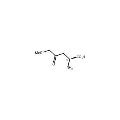 COCC(=O)C[C@H](N)C(=O)O